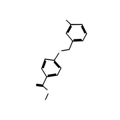 CC(C)(C)OC(=O)c1ccc(NCc2cccc(C(C)(C)C)c2)cc1